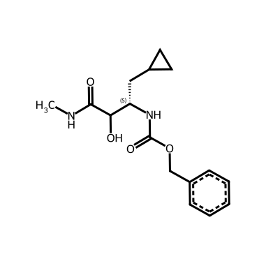 CNC(=O)C(O)[C@H](CC1CC1)NC(=O)OCc1ccccc1